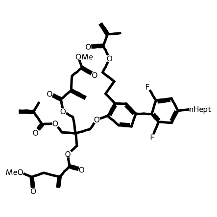 C=C(C)C(=O)OCCCc1cc(-c2c(F)cc(CCCCCCC)cc2F)ccc1OCC(COC(=O)C(=C)C)(COC(=O)C(=C)CC(=O)OC)COC(=O)C(=C)CC(=O)OC